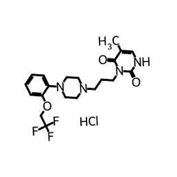 Cc1c[nH]c(=O)n(CCCN2CCN(c3ccccc3OCC(F)(F)F)CC2)c1=O.Cl